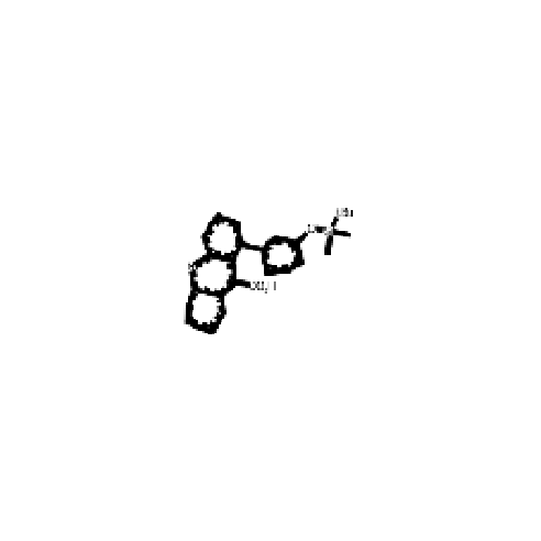 CC(C)(C)[Si](C)(C)Oc1cccc(-c2cccc3nc4ccccc4c(C(=O)O)c23)c1